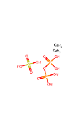 O=P(O)(O)OP(=O)(O)O.O=S(=O)(O)O.[CaH2].[CaH2]